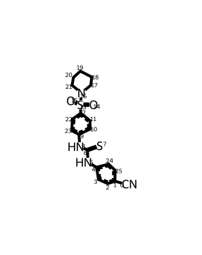 N#Cc1ccc(NC(=S)Nc2ccc(S(=O)(=O)N3CCCCC3)cc2)cc1